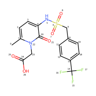 Cc1ccc(NS(=O)(=O)Cc2ccc(C(F)(F)F)cc2)c(=O)n1CC(=O)O